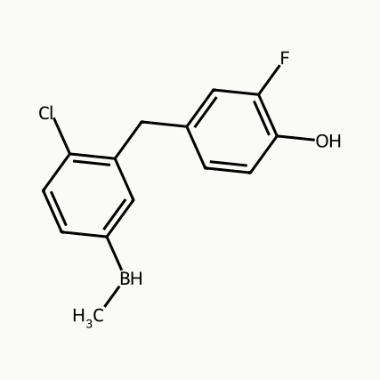 CBc1ccc(Cl)c(Cc2ccc(O)c(F)c2)c1